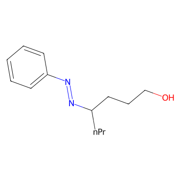 CCCC(CCCO)N=Nc1ccccc1